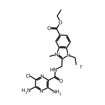 CCOC(=O)c1ccc2c(c1)[n+](C)c(CNC(=O)c1nc(Cl)c(N)nc1N)n2CC.[I-]